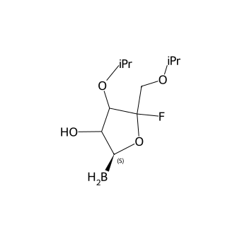 B[C@@H]1OC(F)(COC(C)C)C(OC(C)C)C1O